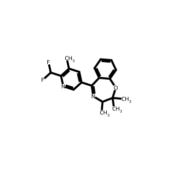 Cc1cc(C2=NC(C)C(C)(C)Oc3ccccc32)cnc1C(F)F